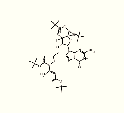 CC(C)(C)OC(=O)N=C(N)N(CCCO[C@H]1[C@H](n2cnc3c(=O)[nH]c(N)nc32)O[C@]23C(O[SiH](C(C)(C)C)O[C@@H]12)[SiH]3C(C)(C)C)C(=O)OC(C)(C)C